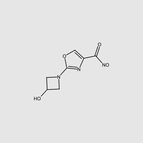 O=NC(=O)c1coc(N2CC(O)C2)n1